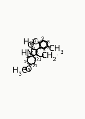 [CH2]CC1=C(c2cc(C)ccc2C)C(=O)NC12CCC(OC)CC2